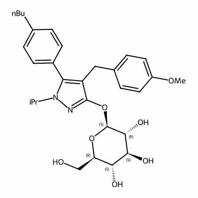 CCCCc1ccc(-c2c(Cc3ccc(OC)cc3)c(O[C@@H]3O[C@H](CO)[C@@H](O)[C@H](O)[C@H]3O)nn2C(C)C)cc1